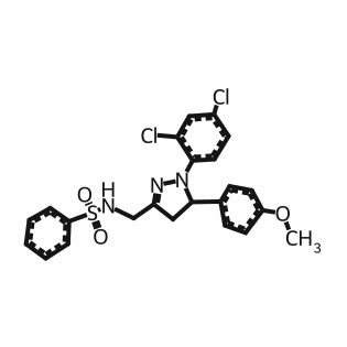 COc1ccc(C2CC(CNS(=O)(=O)c3ccccc3)=NN2c2ccc(Cl)cc2Cl)cc1